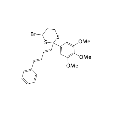 COc1cc(C2(C=CC=Cc3ccccc3)SCCC(Br)S2)cc(OC)c1OC